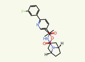 CC(C)(C)OC(=O)N1[C@@H]2CC[C@H]1C[C@H](NC(=O)c1ccc(-c3cccc(F)c3)nc1)C2